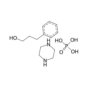 C1CNCCN1.O=P(O)(O)O.OCCCc1ccccc1